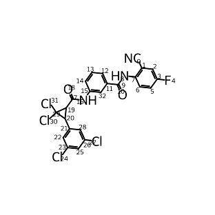 N#Cc1cc(F)ccc1NC(=O)c1cccc(NC(=O)C2C(c3cc(Cl)cc(Cl)c3)C2(Cl)Cl)c1